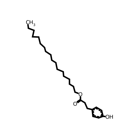 CCCCCCCCCCCCCCCCCCOC(=O)CCc1ccc(O)cc1